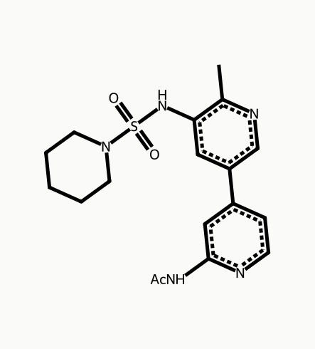 CC(=O)Nc1cc(-c2cnc(C)c(NS(=O)(=O)N3CCCCC3)c2)ccn1